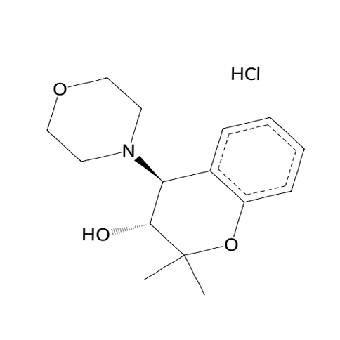 CC1(C)Oc2ccccc2[C@H](N2CCOCC2)[C@H]1O.Cl